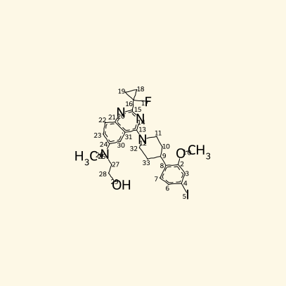 COc1cc(I)ccc1C1CCN(c2nc(C3(F)CC3)nc3ccc(N(C)CCO)cc23)CC1